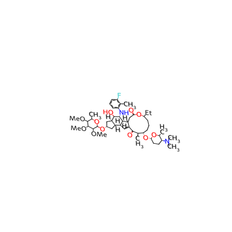 CC[C@H]1CCC[C@H](O[C@H]2CC[C@H](N(C)C)C(C)O2)[C@@H](C)C(=O)C2=C[C@H]3[C@@H]4C[C@H](O[C@@H]5OC(C)[C@H](OC)C(OC)C5OC)C[C@H]4[C@@H](O)[C@H](Nc4cccc(F)c4C)[C@H]3[C@@H]2CC(=O)O1